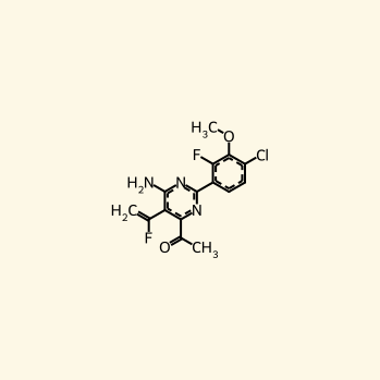 C=C(F)c1c(N)nc(-c2ccc(Cl)c(OC)c2F)nc1C(C)=O